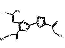 COC(=O)c1csc(-c2nc(C(=O)OC)c(C=C(C)C)s2)n1